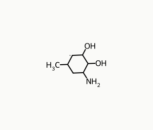 CC1[CH]C(O)C(O)C(N)C1